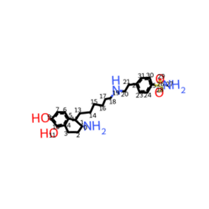 NC1CCc2c(ccc(O)c2O)C1CCCCCCNCCc1ccc(S(N)(=O)=O)cc1